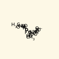 COC(=O)c1cc(-c2ccc(N3CC(CNC(C)=O)OC3=O)cc2F)cnc1OC1COc2nc([N+](=O)[O-])cn2C1